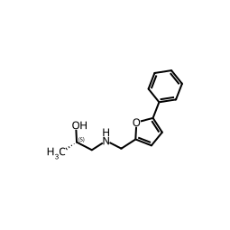 C[C@H](O)CNCc1ccc(-c2ccccc2)o1